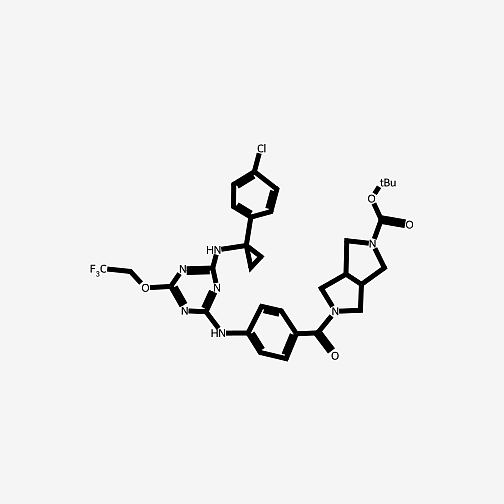 CC(C)(C)OC(=O)N1CC2CN(C(=O)c3ccc(Nc4nc(NC5(c6ccc(Cl)cc6)CC5)nc(OCC(F)(F)F)n4)cc3)CC2C1